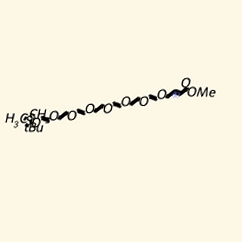 COC(=O)/C=C/COCCOCCOCCOCCOCCOCCOCCO[Si](C)(C)C(C)(C)C